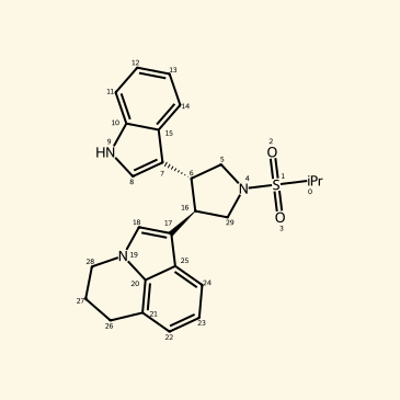 CC(C)S(=O)(=O)N1C[C@@H](c2c[nH]c3ccccc23)[C@H](c2cn3c4c(cccc24)CCC3)C1